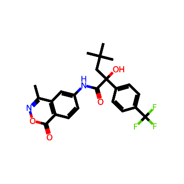 Cc1noc(=O)c2ccc(NC(=O)C(O)(CC(C)(C)C)c3ccc(C(F)(F)F)cc3)cc12